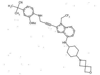 COc1cc(C(C)(C)C#N)ccc1NCC#Cc1cc2c(NC3CCC(N4CC5(COC5)C4)CC3)cccc2n1CC(F)(F)F